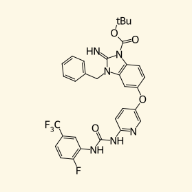 CC(C)(C)OC(=O)n1c(=N)n(Cc2ccccc2)c2cc(Oc3ccc(NC(=O)Nc4cc(C(F)(F)F)ccc4F)nc3)ccc21